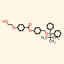 CC(C)(C)[Si](OCc1ccc(OC(=O)c2ccc(OCCO)cc2)cc1)(c1ccccc1)c1ccccc1